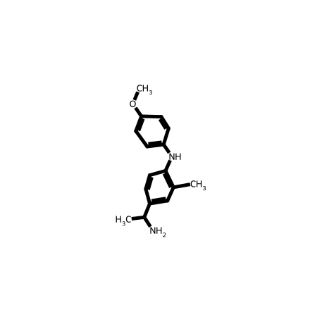 COc1ccc(Nc2ccc(C(C)N)cc2C)cc1